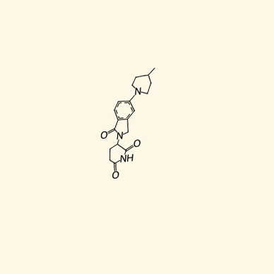 CC1CCN(c2ccc3c(c2)CN(C2CCC(=O)NC2=O)C3=O)CC1